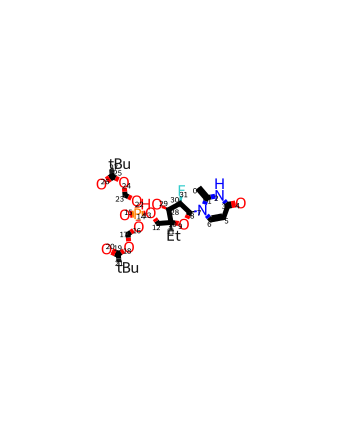 C=C1NC(=O)C=CN1[C@@H]1O[C@](CC)(COP(=O)(OCOC(=O)C(C)(C)C)OCOC(=O)C(C)(C)C)[C@@H](O)[C@H]1F